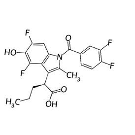 CCC[C@H](C(=O)O)c1c(C)n(C(=O)c2ccc(F)c(F)c2)c2cc(F)c(O)c(F)c12